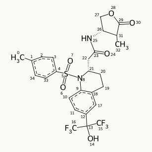 Cc1ccc(S(=O)(=O)N2c3ccc(C(O)(C(F)(F)F)C(F)(F)F)cc3CC[C@H]2CC(=O)N[C@@H]2COC(=O)C2C)cc1